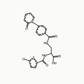 O=C(NCC(NC(=O)c1ccc(Cl)s1)C(=O)O)c1ccc(-n2ccccc2=O)cc1